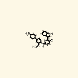 NC1CCN(c2ccc(Nc3ncc(Cl)c(-c4c[nH]c5ccccc45)n3)c(CO)c2)CC1